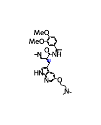 CN=C/C(=C\c1c[nH]c2ncc(OCCN(C)C)cc12)C(=O)N[C@H](C)c1ccc(OC)c(OC)c1